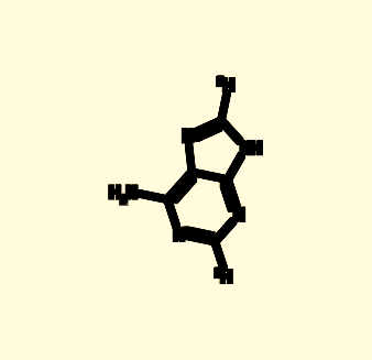 [2H]c1nc(N)c2nc([2H])[nH]c2n1